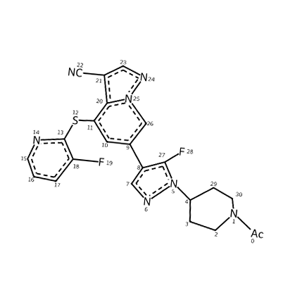 CC(=O)N1CCC(n2ncc(-c3cc(Sc4ncccc4F)c4c(C#N)cnn4c3)c2F)CC1